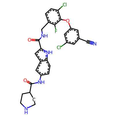 N#Cc1cc(Cl)cc(Oc2c(Cl)ccc(CNC(=O)c3cc4cc(NC(=O)C5CCNCC5)ccc4[nH]3)c2F)c1